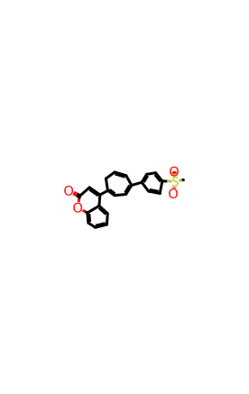 CS(=O)(=O)c1ccc(C2=CC=C(c3cc(=O)oc4ccccc34)CC=C2)cc1